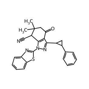 CC1(C)CC(=O)c2c(C3CC3c3ccccc3)nn(-c3nc4ccccc4s3)c2C1C#N